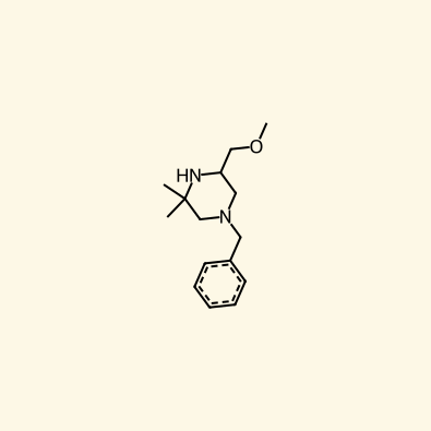 COCC1CN(Cc2ccccc2)CC(C)(C)N1